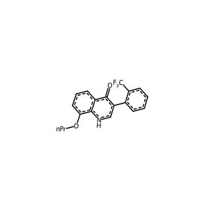 CCCOc1cccc2c(=O)c(-c3ccccc3C(F)(F)F)c[nH]c12